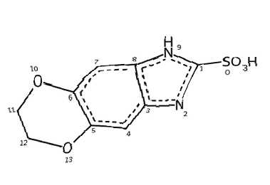 O=S(=O)(O)c1nc2cc3c(cc2[nH]1)OCCO3